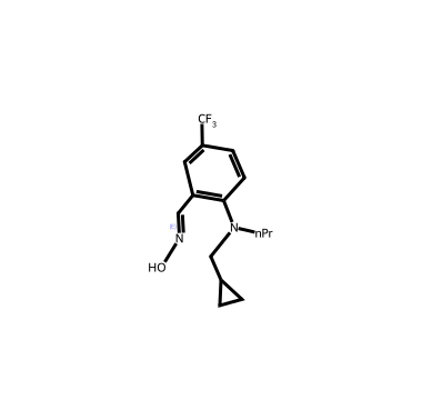 CCCN(CC1CC1)c1ccc(C(F)(F)F)cc1/C=N/O